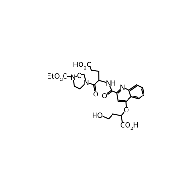 CCOC(=O)N1CCN(C(=O)C(CCC(=O)O)NC(=O)c2cc(OC(CCO)C(=O)O)c3ccccc3n2)CC1